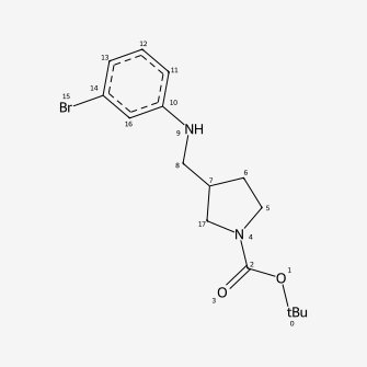 CC(C)(C)OC(=O)N1CCC(CNc2cccc(Br)c2)C1